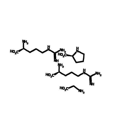 N=C(N)NCCC[C@H](N)C(=O)O.N=C(N)NCCC[C@H](N)C(=O)O.NCC(=O)O.O=C(O)[C@@H]1CCCN1